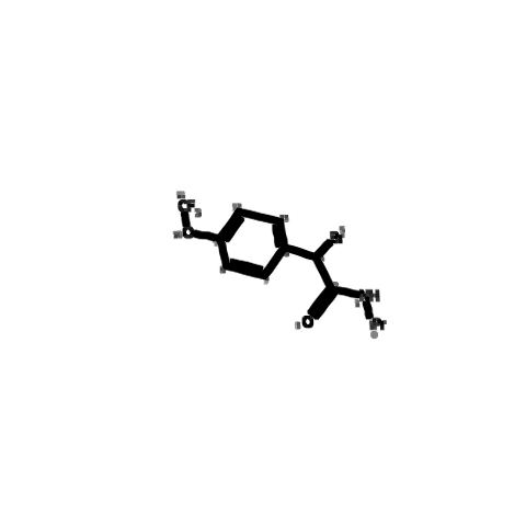 CC(C)NC(=O)C(Br)c1ccc(OC(F)(F)F)cc1